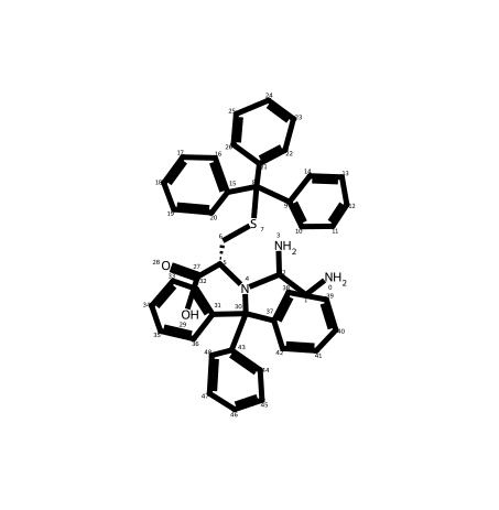 NCC(N)N([C@@H](CSC(c1ccccc1)(c1ccccc1)c1ccccc1)C(=O)O)C(c1ccccc1)(c1ccccc1)c1ccccc1